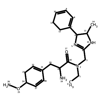 CCN(CC1=NC(C2=CC=CCC2)C(C)N1)C(=O)C(N)CC1=CCC(ON)C=C1